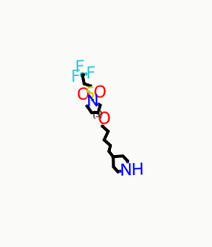 O=S(=O)(CCC(F)(F)F)N1CC[C@H](OCCCCCC2CCNCC2)C1